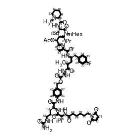 CCCCCCN(C(=O)[C@@H](NC(=O)[C@H]1CCCCN1C)C(C)CC)[C@H](C[C@@H](OC(C)=O)c1nc(C(=O)N[C@@H](Cc2ccc(F)cc2)C[C@H](C)C(=O)NNC(=O)OCc2ccc(NC(=O)[C@H](CCCNC(N)=O)NC(=O)[C@@H](NC(=O)CCCCCN3C(=O)C=CC3=O)C(C)C)cc2)cs1)C(C)C